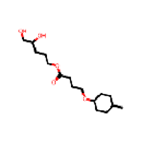 CC1CCC(OCCCC(=O)OCCCC(O)CO)CC1